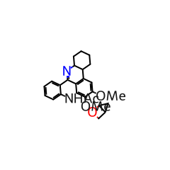 C1OC2CC12.COc1cc2c(cc1OC)C1CCCCC1N=C2c1ccccc1NC(C)=O